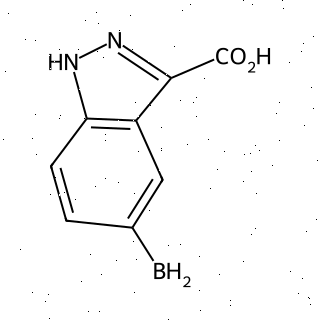 Bc1ccc2[nH]nc(C(=O)O)c2c1